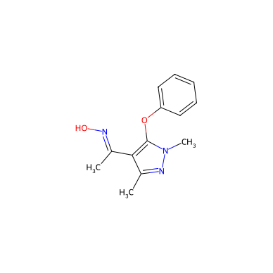 CC(=NO)c1c(C)nn(C)c1Oc1ccccc1